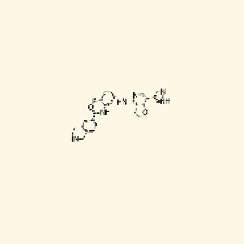 O=C(Nc1cc(CNc2ncc(-c3cn[nH]c3)c3c2CCO3)ccc1F)c1ccc2c(c1)CCNC2